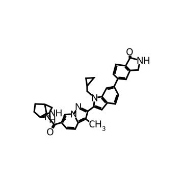 Cc1c(-c2cc3ccc(-c4ccc5c(c4)CNC5=O)cc3n2CC2CC2)nn2cc(C(=O)N3CC4CCC3[C@@H]4N)ccc12